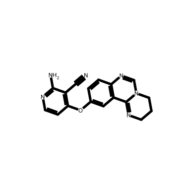 N#Cc1c(Oc2ccc3c(c2)C2=NCCCN2C=N3)ccnc1N